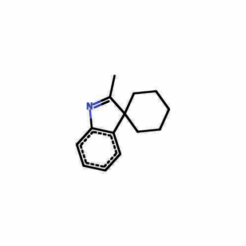 CC1=Nc2ccccc2C12CCCCC2